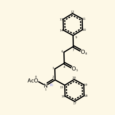 CC(=O)O/N=C(\CC(=O)CC(=O)c1ccccc1)c1ccccc1